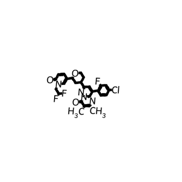 Cc1nc2c(-c3ccc(Cl)cc3F)cc(C3CCOC(c4ccc(=O)n(CC(F)F)c4)C3)nn2c(=O)c1C